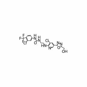 O=C(NCCNc1ncc(-c2nnc(CO)o2)cc1Cl)Nc1ccc(C(F)(F)F)c(Cl)c1